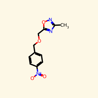 Cc1noc(COCc2ccc([N+](=O)[O-])cc2)n1